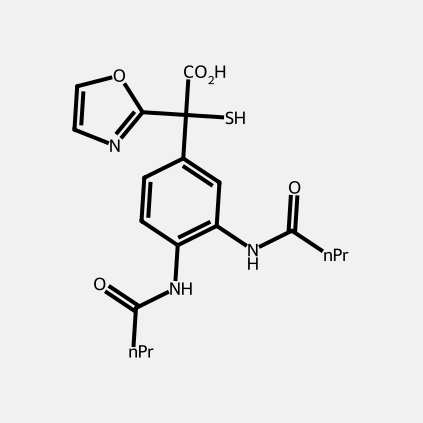 CCCC(=O)Nc1ccc(C(S)(C(=O)O)c2ncco2)cc1NC(=O)CCC